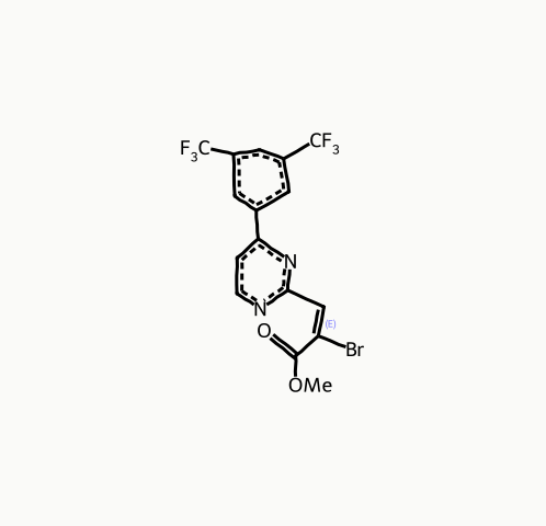 COC(=O)/C(Br)=C\c1nccc(-c2cc(C(F)(F)F)cc(C(F)(F)F)c2)n1